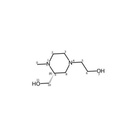 CN1CCN(CCO)C[C@@H]1CO